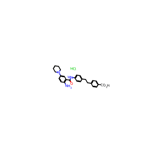 Cl.Nc1ccc(N2CCCCC2)cc1C(=O)Nc1ccc(CCc2ccc(C(=O)O)cc2)cc1